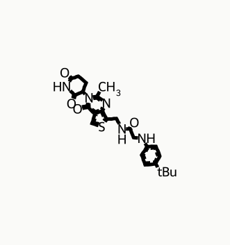 Cc1nc2c(CNC(=O)CNc3ccc(C(C)(C)C)cc3)scc2c(=O)n1C1CCC(=O)NC1=O